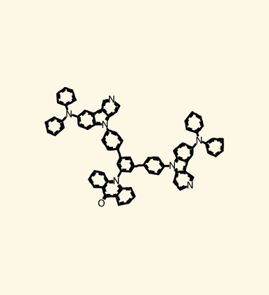 O=c1c2ccccc2n(-c2cc(-c3ccc(-n4c5ccncc5c5cc(N(c6ccccc6)c6ccccc6)ccc54)cc3)cc(-c3ccc(-n4c5ccncc5c5cc(N(c6ccccc6)c6ccccc6)ccc54)cc3)c2)c2ccccc12